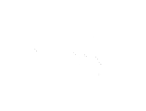 CC(C)(C)c1cc(NC(=O)Nc2ccc(Cc3ccncc3)cc2)n(-c2cc(Cl)ccc2Cl)n1